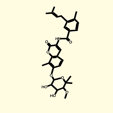 COC1C(O)C(O)C(Oc2ccc3cc(NC(=O)c4ccc(C)c(CC=C(C)C)c4)c(=O)oc3c2C)OC1(C)C